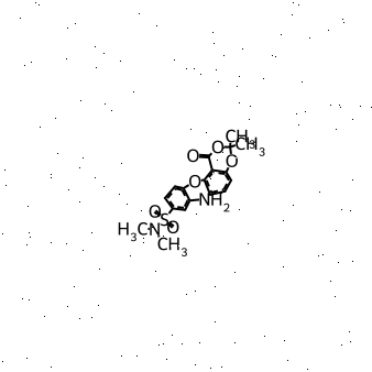 CN(C)S(=O)(=O)c1ccc(Oc2cccc3c2C(=O)OC(C)(C)O3)c(N)c1